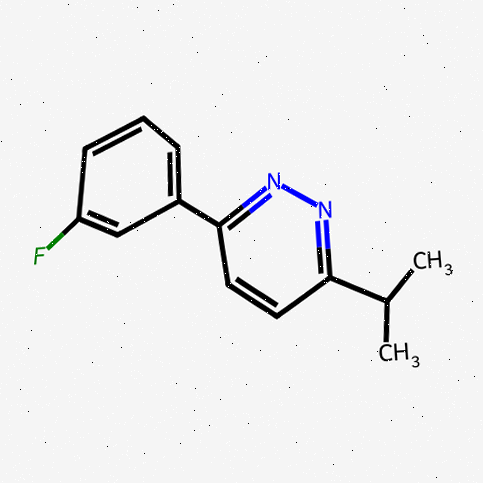 CC(C)c1ccc(-c2cccc(F)c2)nn1